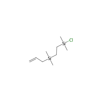 C=CC[Si](C)(C)CC[Si](C)(C)Cl